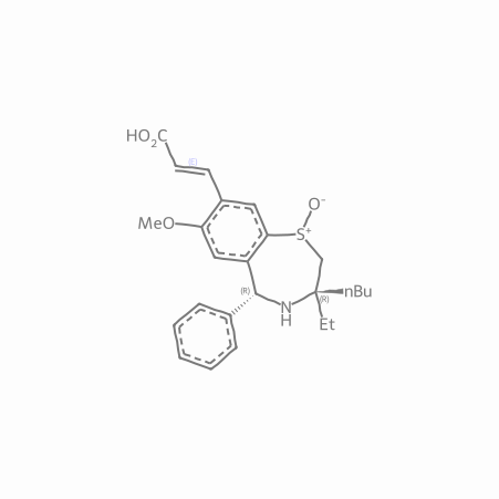 CCCC[C@]1(CC)C[S+]([O-])c2cc(/C=C/C(=O)O)c(OC)cc2[C@@H](c2ccccc2)N1